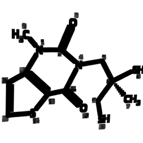 Cn1c(=O)n(C[C@@](C)(S)CS)c(=O)c2sccc21